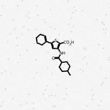 CC1CCC(C(=O)Nc2cc(C3=CCCCC3)sc2C(=O)O)CC1